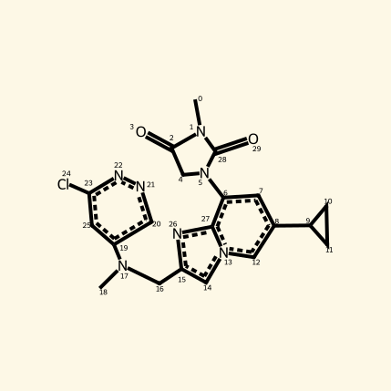 CN1C(=O)CN(c2cc(C3CC3)cn3cc(CN(C)c4cnnc(Cl)c4)nc23)C1=O